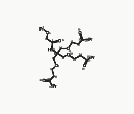 CC(C)OCC(=O)NC(COCCC(=O)C(C)C)(COCCC(=O)C(C)C)COCCC(=O)C(C)C